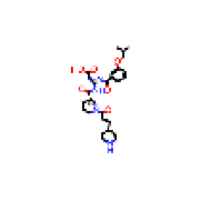 CC(C)COc1cccc(C(=O)N[C@H](CC(=O)O)NC(=O)[C@@H]2CCCN(C(=O)CCC3CCNCC3)C2)c1